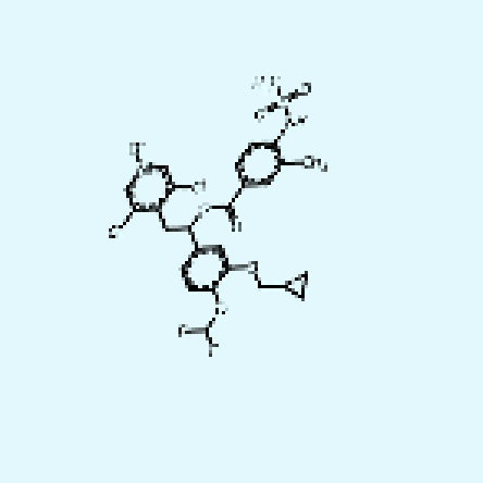 Cc1cc(C(=O)OC(Cc2c(Cl)c[n+]([O-])cc2Cl)c2ccc(OC(F)F)c(OCC3CC3)c2)ccc1NS(C)(=O)=O